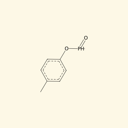 Cc1ccc(O[PH]=O)cc1